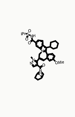 COc1ccc2c(c1)C=C(c1c(C(=O)N3CC4CCC3O4)cnn1C)Cn1c-2c(C2CCCCC2)c2ccc(C(=O)NS(=O)(=O)C(C)C)cc21